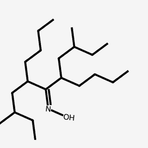 CCCCC(CC(C)CC)C(=NO)C(CCCC)CC(C)CC